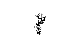 CC(C)(C)OC(=O)NC(C)(C)C(=O)N[C@H]1CC(=O)N[C@@H]1CC(=O)O